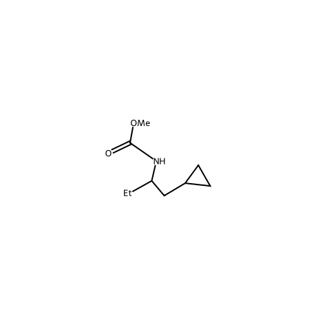 CCC(CC1CC1)NC(=O)OC